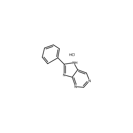 Cl.c1ccc(-c2nc3ncncc3[nH]2)cc1